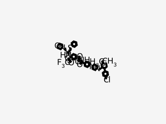 C[Si]1(C)CCC(c2ccc(Cl)cc2)=C(CN2CCN(c3ccc(C(=O)NS(=O)(=O)c4ccc(N[C@H](CCN5CCOCC5)CSc5ccccc5)c(S(=O)(=O)C(F)(F)F)c4)cc3)CC2)C1